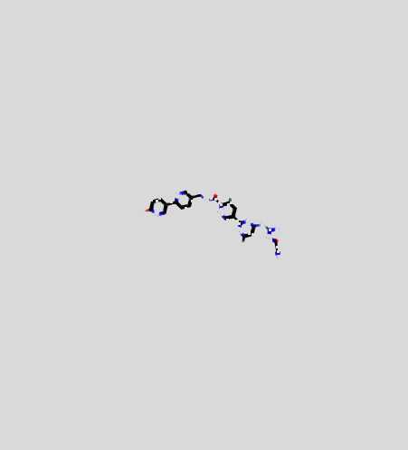 COc1ccc(-c2ccc(CNC(=O)c3ncc(-c4nc(C)cc(Nc5noc(C#N)n5)n4)cc3F)cn2)cn1